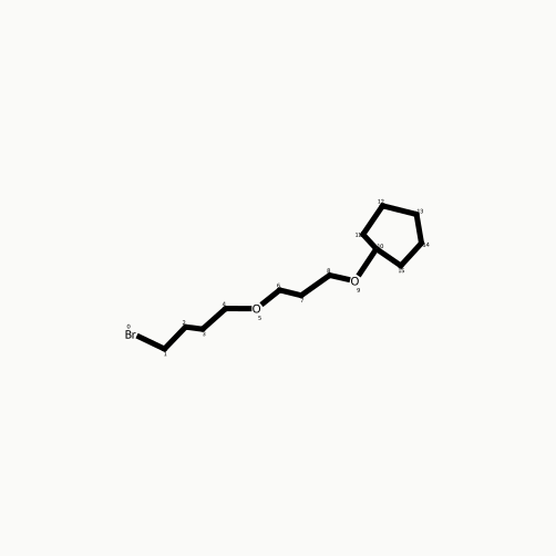 BrCCCCOCCCOC1CCCCC1